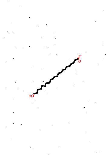 O=C([O-])CCCCCCCCCCCCCCCCCCCCCO.[Li+]